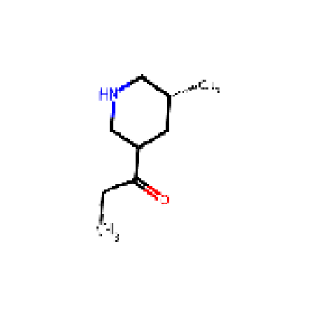 CCC(=O)C1CNC[C@H](C)C1